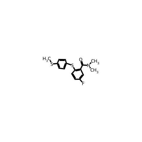 CSc1ccc(Sc2ccc(F)cc2C(=O)N(C)C)cc1